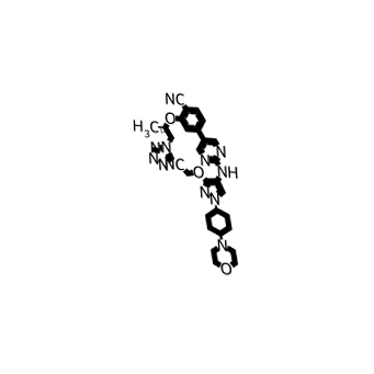 C[C@@H](Cn1cnnn1)Oc1cc(-c2cnc(Nc3cn([C@H]4CC[C@H](N5CCOCC5)CC4)nc3OCC#N)nc2)ccc1C#N